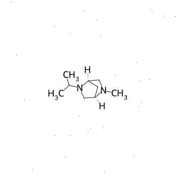 CC(C)N1C[C@H]2C[C@@H]1CN2C